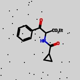 CCOC(=O)C(NC(=O)C1CC1)C(=O)c1ccccc1